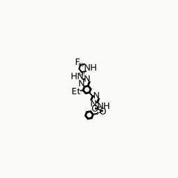 CCc1cc(-c2cnc(NS(=O)(=O)Cc3ccccc3)cn2)cc2cnc(N[C@@H]3CNC[C@@H](F)C3)nc12